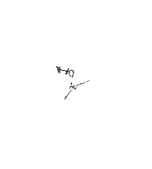 Cl.[CH3][Au][CH3]